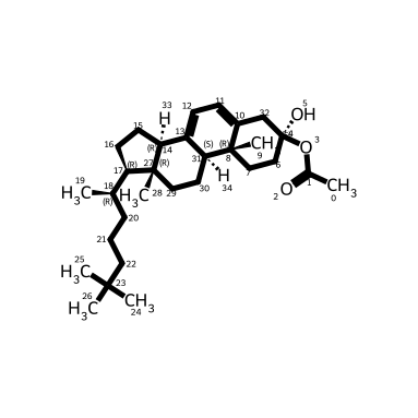 CC(=O)O[C@@]1(O)CC[C@@]2(C)C(=CC=C3[C@@H]4CC[C@H]([C@H](C)CCCC(C)(C)C)[C@@]4(C)CC[C@@H]32)C1